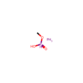 CO[PH](=O)O.P